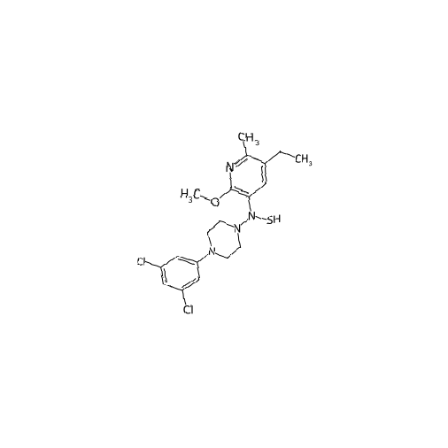 CCc1cc(N(S)N2CCN(c3cc(Cl)cc(Cl)c3)CC2)c(OC)nc1C